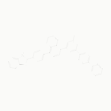 Cc1cc(-c2ccc(-c3ccccn3)cc2)cc(-c2ccc(-c3ccc(C4Nc5ccccc5S4)cc3)c3c2C=CCC3)c1